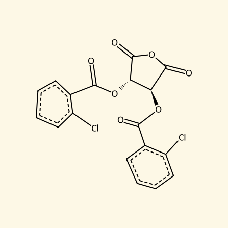 O=C(O[C@@H]1C(=O)OC(=O)[C@H]1OC(=O)c1ccccc1Cl)c1ccccc1Cl